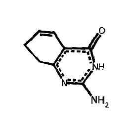 Nc1nc2c(c(=O)[nH]1)C=CCC2